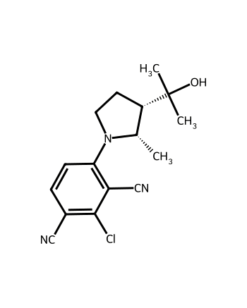 C[C@H]1[C@@H](C(C)(C)O)CCN1c1ccc(C#N)c(Cl)c1C#N